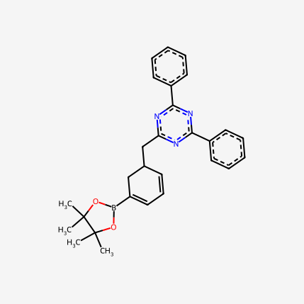 CC1(C)OB(C2=CC=CC(Cc3nc(-c4ccccc4)nc(-c4ccccc4)n3)C2)OC1(C)C